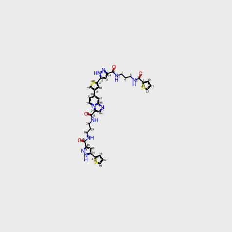 O=C(NCCCNC(=O)c1cccs1)c1cc(-c2cc(-c3ccn4c(C(=O)NCCCNC(=O)c5cc(-c6cccs6)[nH]n5)cnc4c3)cs2)[nH]n1